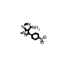 Cn1nc(-c2ccc([N+](=O)[O-])cc2)c2c(N)ncnc21